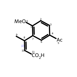 COc1ccc(C(C)=O)cc1/C(C)=C\C(=O)O